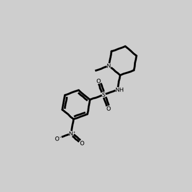 CN1CCCCC1NS(=O)(=O)c1cccc([N+](=O)[O-])c1